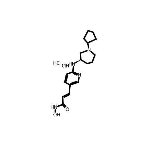 Cl.Cl.O=C(/C=C/c1ccc(N[C@@H]2CCCN(C3CCCC3)C2)nc1)NO